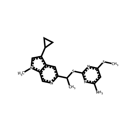 CSc1cc(N)nc(SC(C)c2cc3c(C4CC4)cn(C)c3cn2)n1